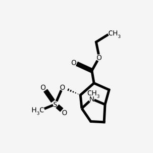 CCOC(=O)C1CC2CCC([C@@H]1OS(C)(=O)=O)N2C